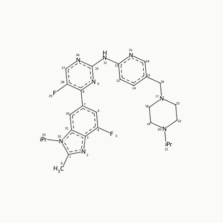 Cc1nc2c(F)cc(-c3nc(Nc4ccc(CN5CCN(C(C)C)CC5)cn4)ncc3F)cc2n1C(C)C